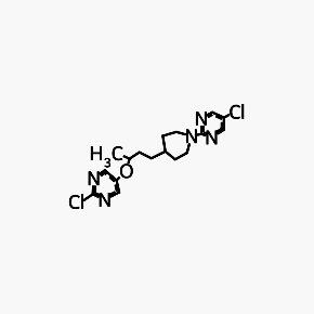 CC(CCC1CCN(c2ncc(Cl)cn2)CC1)Oc1cnc(Cl)nc1